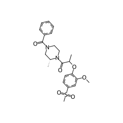 COc1cc(S(C)(=O)=O)ccc1OC(C)C(=O)N1CCN(C(=O)c2ccccc2)C[C@H]1C